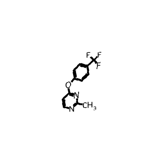 Cc1nccc(Oc2ccc(C(F)(F)F)cc2)n1